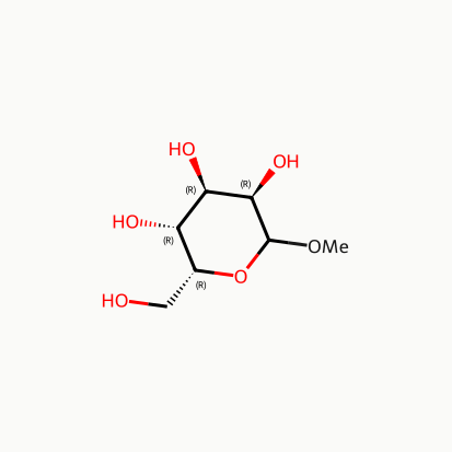 COC1O[C@H](CO)[C@H](O)[C@@H](O)[C@H]1O